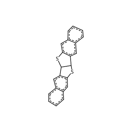 c1ccc2cc3c(cc2c1)SC1c2cc4ccccc4cc2SC31